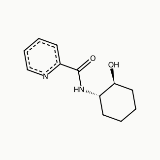 O=C(N[C@H]1CCCC[C@@H]1O)c1ccccn1